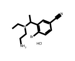 CCN(CCN)C(C)c1cc(C#N)ccc1Br.Cl